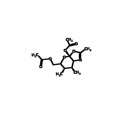 CC(=O)OCC1O[C@]2(OC(C)=O)OC(C)=NC2[C@@H](C)[C@H]1C